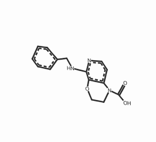 O=C(O)N1CCOc2c1ccnc2NCc1ccccc1